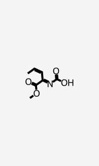 C/C=C\C(=N/C(=O)O)C(=O)OC